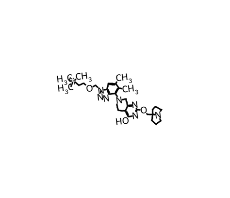 Cc1cc2c(nnn2COCC[Si](C)(C)C)c(N2CCc3c(O)nc(OCC45CCCN4CCC5)nc3C2)c1C